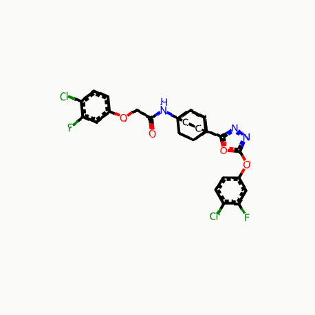 O=C(COc1ccc(Cl)c(F)c1)NC12CCC(c3nnc(Oc4ccc(Cl)c(F)c4)o3)(CC1)CC2